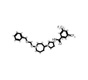 O=C(N[C@@H]1CCN(C2CCCN(OCOCc3ccccc3)CC2)C1)c1cc(C(F)(F)F)cc(C(F)(F)F)c1